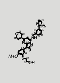 COc1ccc(-c2c(C)nn3c(NCc4cccc(-c5nccn5C)c4)cc(C4CCOCC4)nc23)cc1SCCO